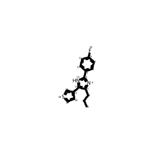 CCCc1nc(-c2ccc(F)cc2)[nH]c1-c1ccsc1